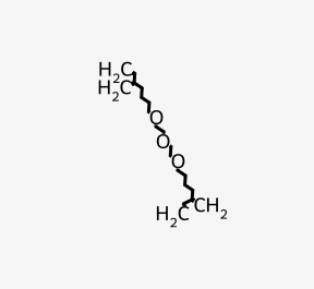 C=CC(=C)CCCCOCCOCCOCCCCC(=C)C=C